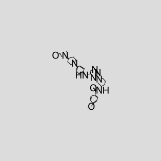 COc1ccc(C(=O)N[C@@H]2CCCN(c3nncc(Nc4ccc(N5CCC(N(C)CC=O)CC5)cc4)n3)C2)cc1